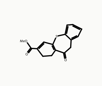 COC(=O)C1=CC2=C(CC1)C(=O)Cc1ccccc1S2